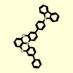 c1ccc(-c2ccc3c(c2)Oc2cccc4c2N3c2ccc(-c3ccc(-n5c6ccccc6c6ccccc65)cc3)cc2O4)cc1